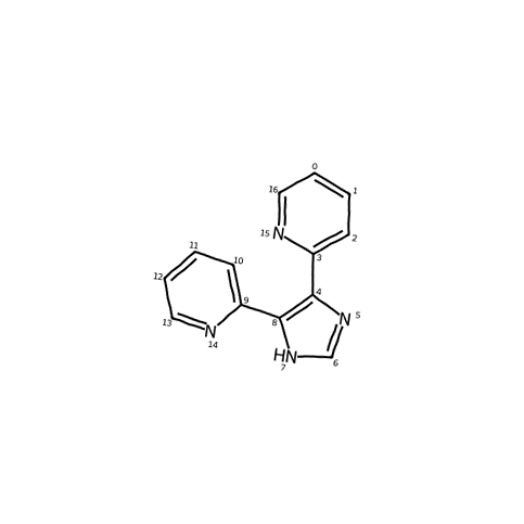 c1ccc(-c2nc[nH]c2-c2ccccn2)nc1